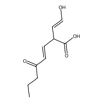 CCCC(=O)C=CC(C=CO)C(=O)O